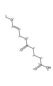 COC=CCOC(=O)CCCC(=O)O